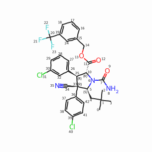 CC(C)(C)C[C@@H]1N(C(N)=O)[C@@H](C(=O)OCc2cccc(C(F)(F)F)c2)[C@H](c2cccc(Cl)c2)[C@@]1(C#N)c1ccc(Cl)cc1